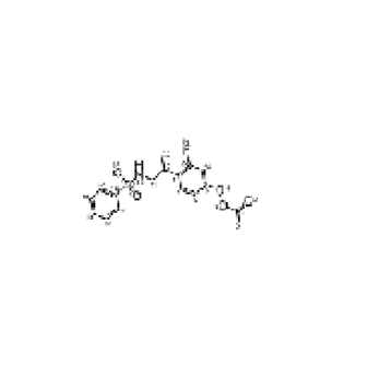 CC(=O)OOc1ccc(C(C)CNS(=O)(=O)c2ccccc2)c(F)c1